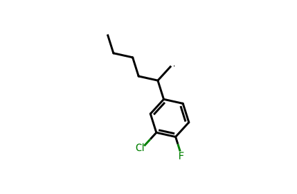 [CH2]C(CCCC)c1ccc(F)c(Cl)c1